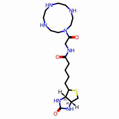 O=C(CCCCC1SC[C@@H]2NC(=O)N[C@H]12)NCC(=O)N1CCNCCNCCNCC1